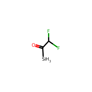 O=C([SiH3])C(F)F